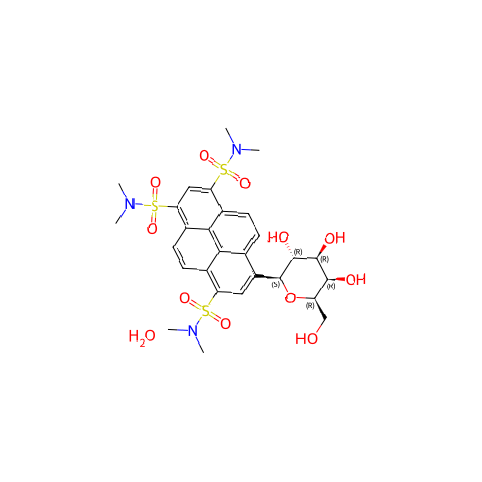 CN(C)S(=O)(=O)c1cc([C@@H]2O[C@H](CO)[C@H](O)[C@H](O)[C@H]2O)c2ccc3c(S(=O)(=O)N(C)C)cc(S(=O)(=O)N(C)C)c4ccc1c2c34.O